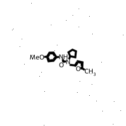 COc1ccc(NC(=O)N(Cc2ccc(C)o2)C2CCCC2)cc1